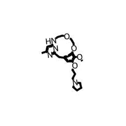 COc1c(OCCCN2CCCC2)cc2cc1OCCOCCNc1cc(C)nc(n1)C2